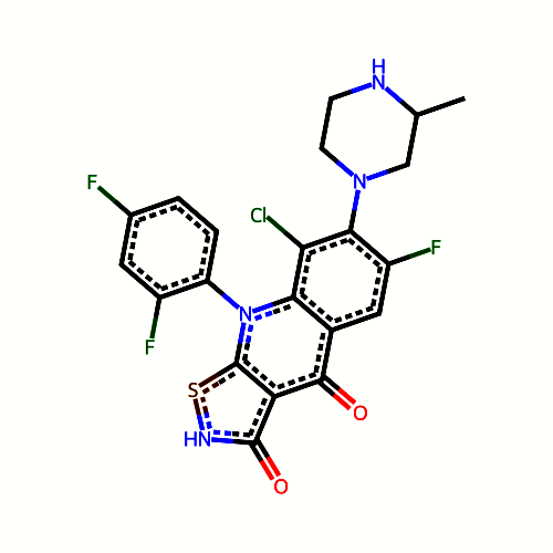 CC1CN(c2c(F)cc3c(=O)c4c(=O)[nH]sc4n(-c4ccc(F)cc4F)c3c2Cl)CCN1